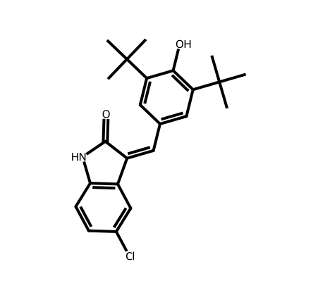 CC(C)(C)c1cc(C=C2C(=O)Nc3ccc(Cl)cc32)cc(C(C)(C)C)c1O